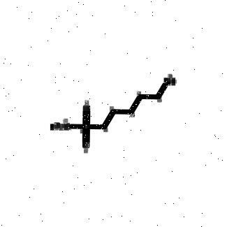 CCCCCS(=O)(=O)CCCCC[NH]